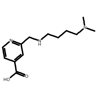 CN(C)CCCCNCc1cc(C(=O)O)ccn1